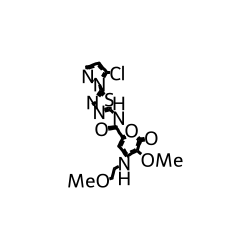 COCCNc1cc(C(=O)Nc2nnc(-n3nccc3Cl)s2)oc(=O)c1OC